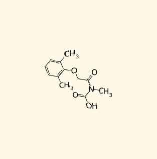 Cc1c[c]cc(C)c1OCC(=O)N(C)C(=O)O